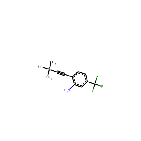 C[Si](C)(C)C#Cc1ccc(C(F)(F)F)cc1N